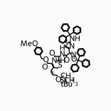 COc1ccc(COC(=O)C2=C(/C=C\CO[Si](C)(C)C(C)(C)C)CS[C@H]3C(NC(=O)/C(=N\OC(c4ccccc4)(c4ccccc4)c4ccccc4)c4csc(NC(c5ccccc5)(c5ccccc5)c5ccccc5)n4)C(=O)N23)cc1